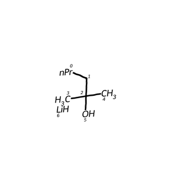 CCCCC(C)(C)O.[LiH]